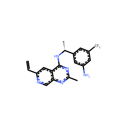 C=Cc1cc2c(N[C@H](C)c3cc(N)cc(C(F)(F)F)c3)nc(C)nc2cn1